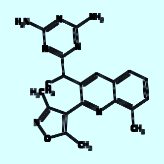 Cc1noc(C)c1-c1nc2c(C)cccc2cc1C(C)c1nc(N)nc(N)n1